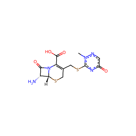 Cn1ncc(=O)nc1SCC1=C(C(=O)O)N2C(=O)[C@@H](N)[C@H]2SC1